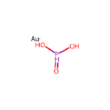 O=[PH](O)O.[Au]